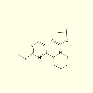 CSc1nccc(C2CCCCN2C(=O)OC(C)(C)C)n1